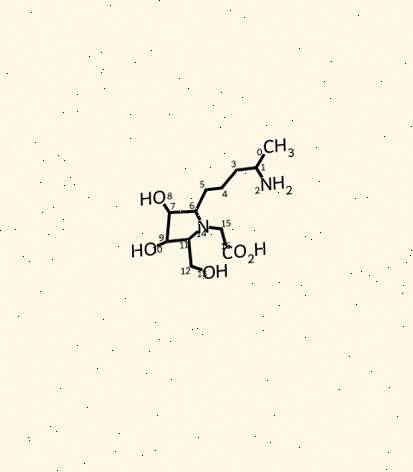 CC(N)CCCC1C(O)C(O)C(CO)N1CC(=O)O